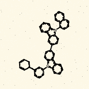 C1=CCC(c2cccc(-n3c4ccccc4c4cc(-c5ccc6c(c5)c5ccccc5n6-c5cccc6ccccc56)ccc43)c2)C=C1